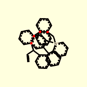 C=CC12c3ccccc3-c3cccc[n+]3C(c3ccccc3-c3cccc[n+]31)c1ccccc1-c1cc(C)c(-c3ccccc3)c[n+]12